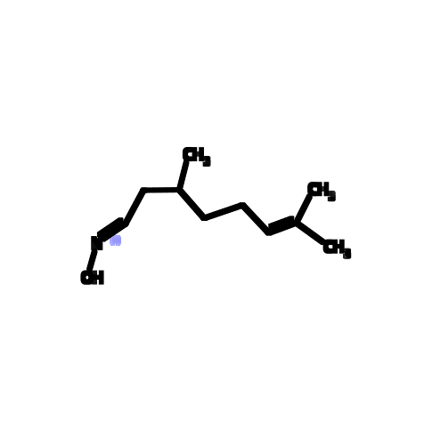 CC(C)=CCCC(C)C/C=N/O